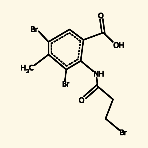 Cc1c(Br)cc(C(=O)O)c(NC(=O)CCBr)c1Br